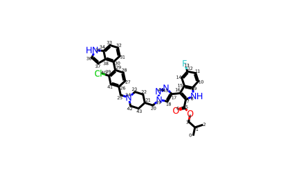 CC(C)COC(=O)c1[nH]c2ccc(F)cc2c1-c1cn(CC2CCN(Cc3ccc(-c4cccc5[nH]ccc45)c(Cl)c3)CC2)nn1